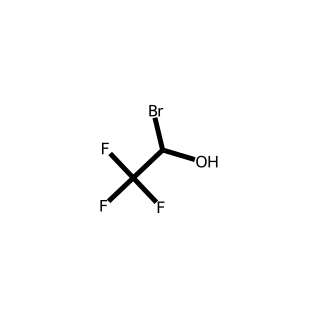 OC(Br)C(F)(F)F